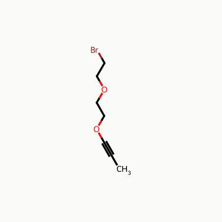 CC#COCCOCCBr